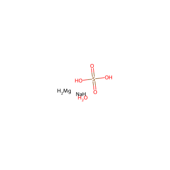 O.O=S(=O)(O)O.[MgH2].[NaH]